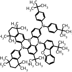 CC(C)(C)c1ccc(N(c2ccc(C(C)(C)C)cc2)c2ccc3c(c2)N(c2ccc(C(C)(C)C)c4c2oc2ccccc24)c2cc(C(C)(C)C)cc4c2B3c2cc3c(cc2N4c2ccc4c(c2)C(C)(C)CCC4(C)C)C(C)(C)CCC3(C)C)cc1